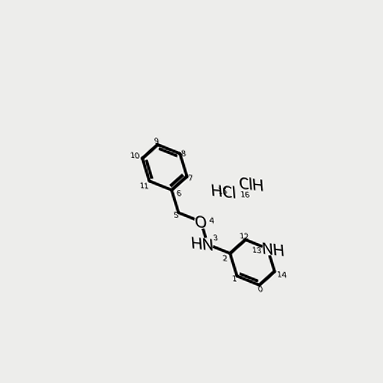 C1=CC(NOCc2ccccc2)CNC1.Cl.Cl